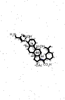 CC(=O)O[C@H]1C[C@@]2(C)[C@@H](C[C@@H](O)[C@H]3[C@@]4(C)CC[C@@H](O)[C@](C)(n5cc(CN)nn5)[C@@H]4CC[C@@]32N)/C1=C(/C(=O)O)C1CCCC(=C(C)C)C1